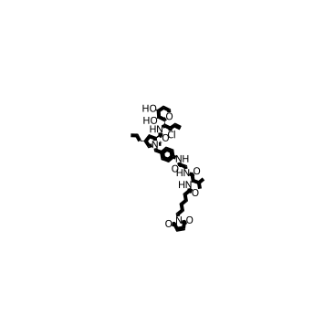 C=CC(Cl)C(NC(=O)[C@@H]1C[C@@H](CCC)C[N+]1(C)Cc1ccc(NC(=O)CNC(=O)[C@@H](NC(=O)CCCCCN2C(=O)C=CC2=O)C(C)C)cc1)[C@H]1OCC[C@@H](O)[C@H]1O